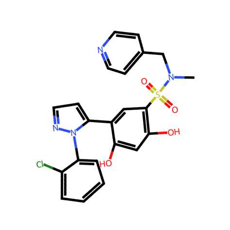 CN(Cc1ccncc1)S(=O)(=O)c1cc(-c2ccnn2-c2ccccc2Cl)c(O)cc1O